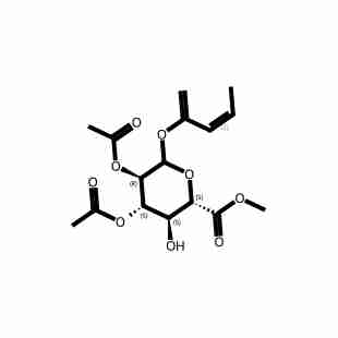 C=C(/C=C\C)OC1O[C@H](C(=O)OC)[C@@H](O)[C@H](OC(C)=O)[C@H]1OC(C)=O